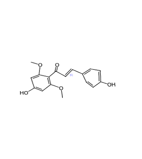 COc1cc(O)cc(OC)c1C(=O)/C=C/c1ccc(O)cc1